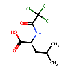 CC(C)C[C@H](NC(=O)C(Cl)(Cl)Cl)C(=O)O